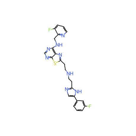 Fc1cccc(-c2cnc(CCNCCc3nc4c(NCc5ncccc5F)ncnc4s3)[nH]2)c1